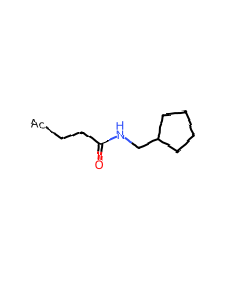 CC(=O)CCC(=O)NCC1CCCC1